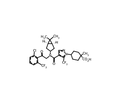 CC1(C(=O)O)CCC(n2ncc(C(=O)N(CC(=O)c3c(Cl)cccc3C(F)(F)F)[C@H]3C[C@@H]4[C@H](C3)C4(C)C)c2C(F)(F)F)CC1